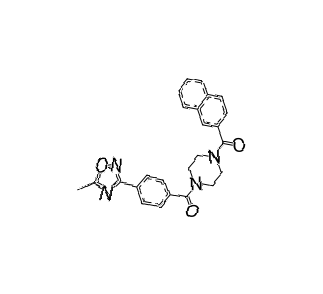 Cc1nc(-c2ccc(C(=O)N3CCN(C(=O)c4ccc5ccccc5c4)CC3)cc2)no1